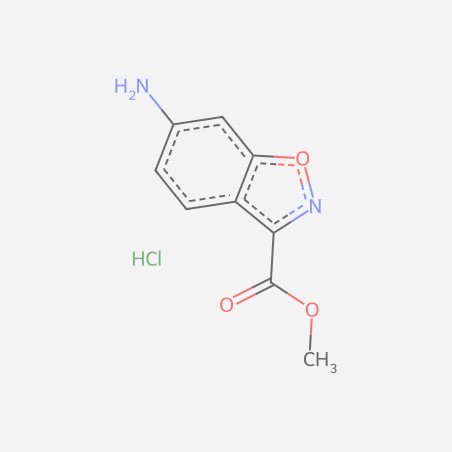 COC(=O)c1noc2cc(N)ccc12.Cl